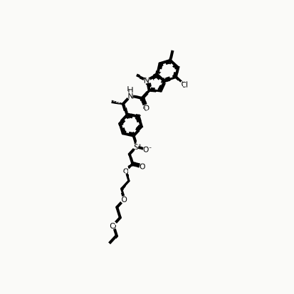 CCOCCOCCOC(=O)C[S+]([O-])c1ccc([C@@H](C)NC(=O)c2cc3c(Cl)cc(C)cc3n2C)cc1